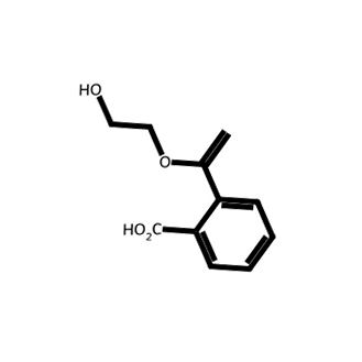 C=C(OCCO)c1ccccc1C(=O)O